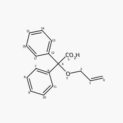 C=CCOC(C(=O)O)(c1ccccc1)c1ccccc1